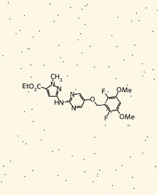 CCOC(=O)c1cc(Nc2ncc(OCc3c(F)c(OC)cc(OC)c3F)cn2)nn1C